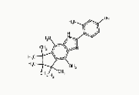 Bc1c2c(c(B)c3[nH]c(-c4ccc(C(C)(C)C)cc4N)nc13)C(C)(C)C(C)(C)C2(C)C